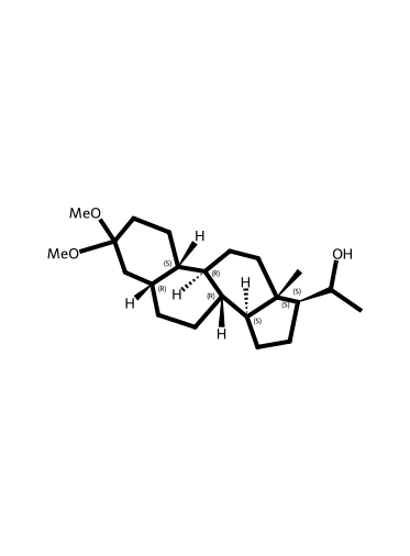 COC1(OC)CC[C@H]2[C@H](CC[C@@H]3[C@@H]2CC[C@]2(C)[C@@H](C(C)O)CC[C@@H]32)C1